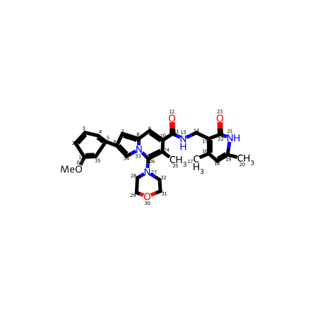 COc1cccc(-c2cc3cc(C(=O)NCc4c(C)cc(C)[nH]c4=O)c(C)c(N4CCOCC4)n3c2)c1